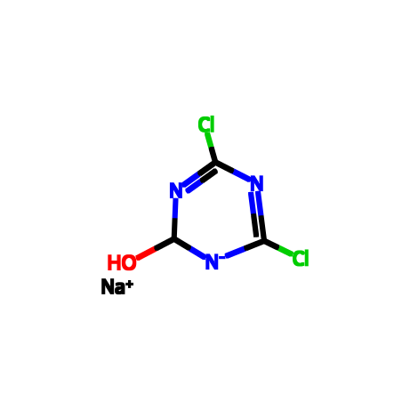 OC1N=C(Cl)N=C(Cl)[N-]1.[Na+]